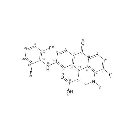 CN(C)c1c(Cl)ccc2c(=O)c3ccc(Nc4c(F)cccc4F)cc3n(CC(=O)O)c12